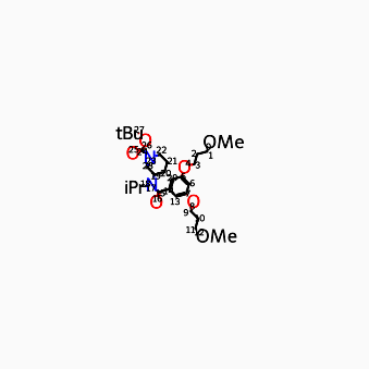 COCCCOc1cc(OCCCOC)cc(C(=O)N(C(C)C)[C@@H]2CCCN(C(=O)OC(C)(C)C)C2)c1